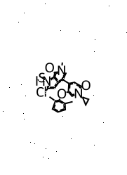 Cc1cccc(C)c1Oc1cn(C2CC2)c(=O)cc1-c1cn(C)c(=O)c2c1cc(Cl)n2SI